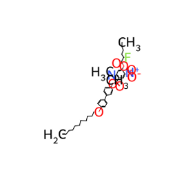 C=CCCCCCCCCCOc1ccc(-c2ccc(OC(=O)c3cc([N+](=O)[O-])c(OC(=O)C(F)CCCC)cc3N(C)C)cc2)cc1